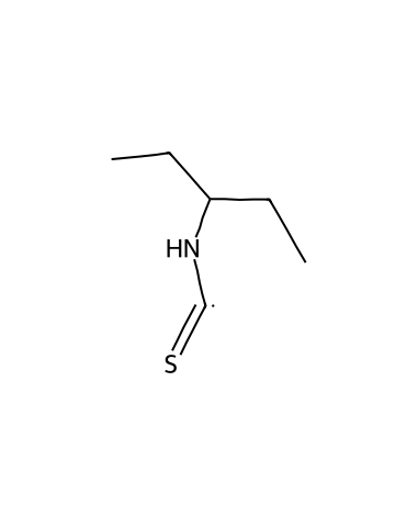 CCC(CC)N[C]=S